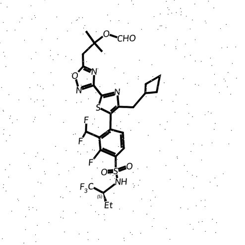 CC[C@H](NS(=O)(=O)c1ccc(-c2sc(-c3noc(CC(C)(C)OC=O)n3)nc2CC2CCC2)c(C(F)F)c1F)C(F)(F)F